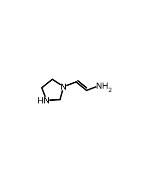 NC=CN1CCNC1